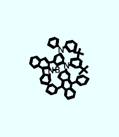 CC(C)(C)c1cc(N2c3cc4c(-c5ccccc5)c5ccccc5c(-c5ccccc5)c4cc3B3c4c(cc(N(c5ccccc5)c5ccccc5)cc42)-c2cc4ccccc4c4c5ccccc5n3c24)cc(C(C)(C)C)c1